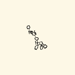 c1ccc(-c2cn3ccc(-c4ccc(-c5nc6ccccc6c6c5ccc5c7ccccc7oc56)cc4)cc3n2)cc1